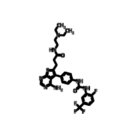 CCN(CC)CCNC(=O)CCc1sc2ncnc(N)c2c1-c1ccc(NC(=O)Nc2cc(C(F)(F)F)ccc2F)cc1